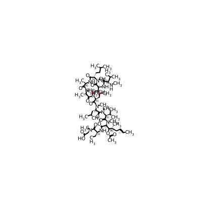 C/C=C/C[C@@H](C)[C@@H](OC(C)=O)[C@@H](C(=O)N[C@@H](CC)C(=O)N(C)CC(=O)O)N(C)C(=O)[C@H](C(C)C)N(C)C(=O)[C@H](CC(C)C)N(C)C(=O)[C@H](CC(C)C)N(C)C(=O)[C@H](C)NC(=O)[C@@H](C)NC(=O)[C@H](CCC(C)C)N(C)C(=O)[C@@H](NC(=O)[C@@H](NC)C(C)C)C(C)C